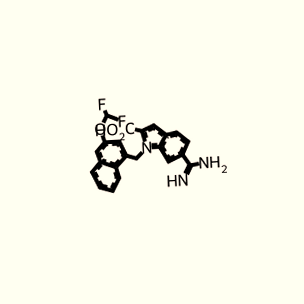 N=C(N)c1ccc2cc(C(=O)O)n(Cc3cc(OC(F)F)cc4ccccc34)c2c1